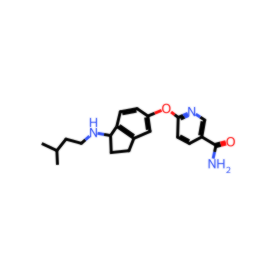 CC(C)CCNC1CCc2cc(Oc3ccc(C(N)=O)cn3)ccc21